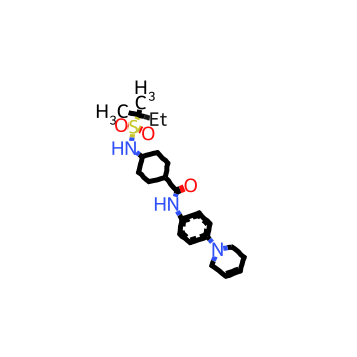 CCC(C)(C)S(=O)(=O)NC1CCC(C(=O)Nc2ccc(N3CC=CCC3)cc2)CC1